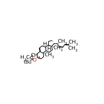 CC(C)=C/C=C\[C@@H](C)[C@H]1CC[C@H]2[C@@H]3CC=C4C[C@@H](O[Si](C)(C)C(C)(C)C)CC[C@]4(C)C3CC[C@]12C